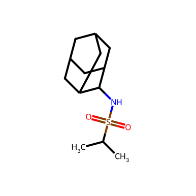 CC(C)S(=O)(=O)NC1C2CC3CC(C2)CC1C3